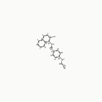 Cc1ccc2ccccc2c1COc1ccc(C[C]=O)cc1